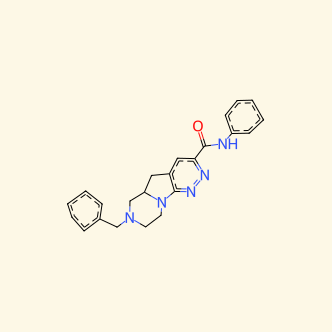 O=C(Nc1ccccc1)c1cc2c(nn1)N1CCN(Cc3ccccc3)CC1C2